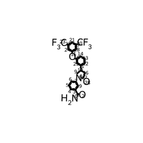 NC(=O)c1cccc(N2CC(c3cccc(Oc4cc(C(F)(F)F)cc(C(F)(F)F)c4)c3)CC2=O)c1